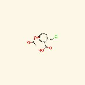 CC(=O)O.O=C(O)c1ccccc1CCl